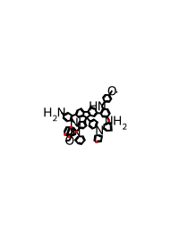 COc1ccc(Nc2ccc(N)cc2-c2ccc3c(c2)C(c2ccc(N(c4ccccc4)c4ccccc4)cc2)(c2ccc(N(c4ccccc4)c4ccccc4)cc2)c2cc(-c4cc(N)ccc4Nc4ccc(OC)cc4)ccc2-3)cc1